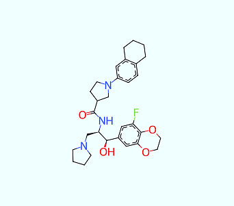 O=C(N[C@H](CN1CCCC1)[C@H](O)c1cc(F)c2c(c1)OCCO2)C1CCN(c2ccc3c(c2)CCCC3)C1